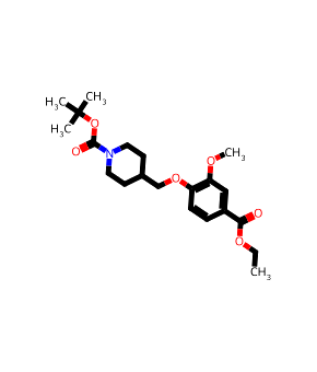 CCOC(=O)c1ccc(OCC2CCN(C(=O)OC(C)(C)C)CC2)c(OC)c1